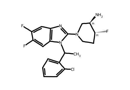 CC(c1ccccc1Cl)n1c(N2CC[C@@H](F)[C@H](N)C2)nc2cc(F)c(F)cc21